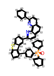 O=P(c1ccccc1)(c1ccccc1)c1ccc(-c2cccc3sc4ccc(-c5ccc6ccc7ccc(-c8ccccc8)nc7c6n5)cc4c23)cc1